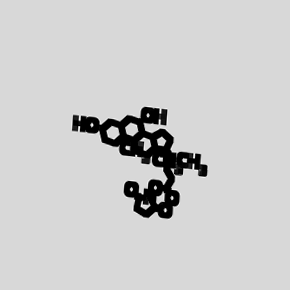 C[C@H](CCC(=O)ON1C(=O)CCC1=O)C1CCC2C3C(O)CC4C[C@H](O)CCC4(C)C3CCC21C